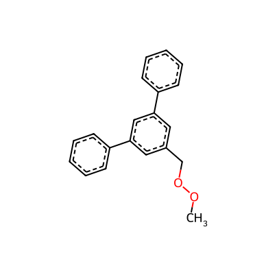 COOCc1cc(-c2ccccc2)cc(-c2ccccc2)c1